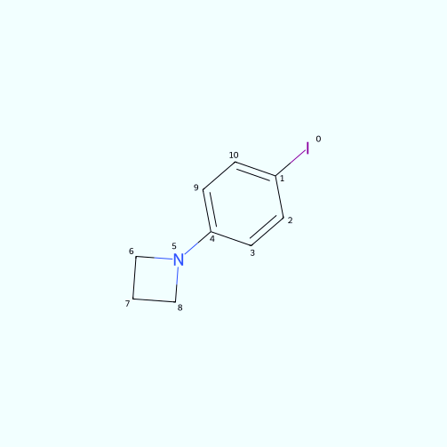 Ic1ccc(N2CCC2)cc1